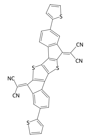 N#CC(C#N)=C1c2cc(-c3cccs3)ccc2-c2c1sc1c3c(sc21)C(=C(C#N)C#N)c1cc(-c2cccs2)ccc1-3